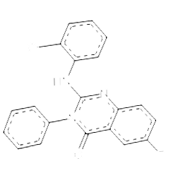 O=c1c2cc(F)ccc2nc(Nc2ccccc2Cl)n1-c1ccccc1